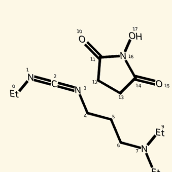 CCN=C=NCCCN(CC)CC.O=C1CCC(=O)N1O